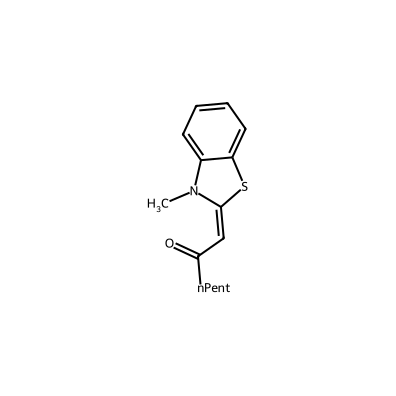 CCCCCC(=O)C=C1Sc2ccccc2N1C